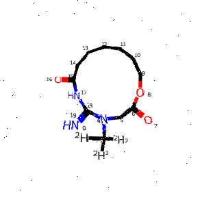 [2H]C([2H])([2H])N1CC(=O)OCCCCCCC(=O)NC1=N